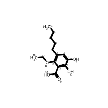 CCCCCc1cc(O)c(O)c(C(=O)O)c1OCC